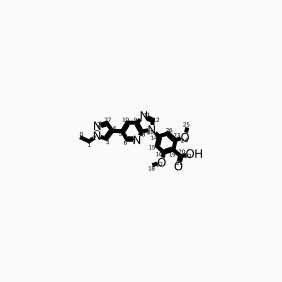 CCn1cc(-c2cnc3c(c2)ncn3-c2cc(OC)c(C(=O)O)c(OC)c2)cn1